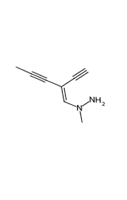 C#C/C(C#CC)=C\N(C)N